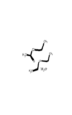 CCOC(C)=O.CCOCC.O